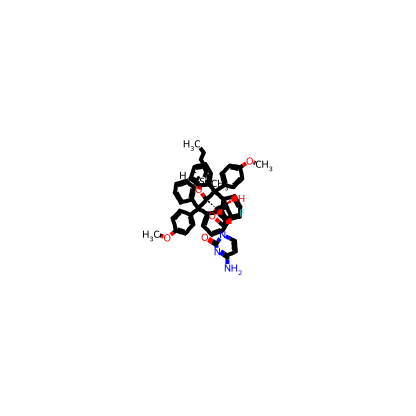 CCCC[Si](C)(C)OC([C@H]1O[C@@H](n2ccc(N)nc2=O)[C@H](F)[C@@H]1O)(C(c1ccccc1)(c1ccccc1)c1ccc(OC)cc1)C(c1ccccc1)(c1ccccc1)c1ccc(OC)cc1